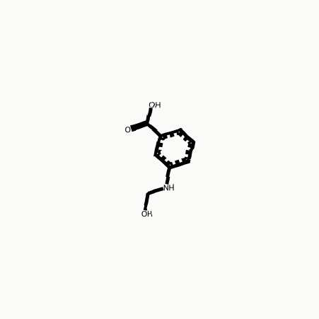 O=C(O)c1cccc(NCO)c1